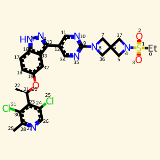 CCS(=O)(=O)N1CC2(CN(c3ncc(-c4n[nH]c5ccc(O[C@H](C)c6c(Cl)cnc(C)c6Cl)cc45)cn3)C2)C1